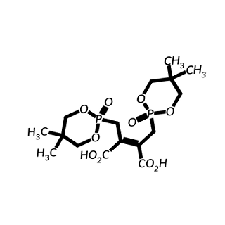 CC1(C)COP(=O)(CC(C(=O)O)=C(CP2(=O)OCC(C)(C)CO2)C(=O)O)OC1